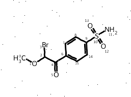 COC(Br)C(=O)c1ccc(S(N)(=O)=O)cc1